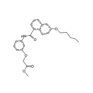 CCCCCOc1ccc2c(C(=O)Nc3cccc(OCC(=O)OC)c3)cccc2c1